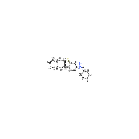 c1ccc(Nc2ccc3c(c2)sc2cc4ccccc4cc23)cc1